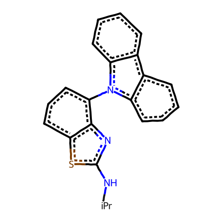 CC(C)Nc1nc2c(-n3c4ccccc4c4ccccc43)cccc2s1